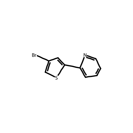 Brc1csc(-c2ccccn2)c1